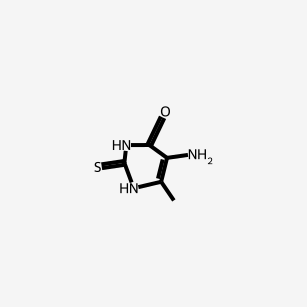 Cc1[nH]c(=S)[nH]c(=O)c1N